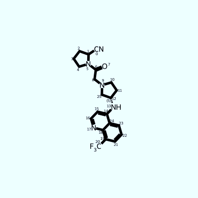 N#CC1CCCN1C(=O)CN1CC[C@H](Nc2ccnc3c(C(F)(F)F)cccc23)C1